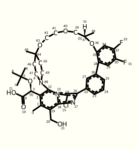 Cc1c([C@H](OC(C)(C)C)C(=O)O)c2n3c(Cl)c(nc3c1CO)-c1cccc(c1)-c1cc(F)c(F)cc1O[C@@H](C)COCCOC1(C)CCN2CC1